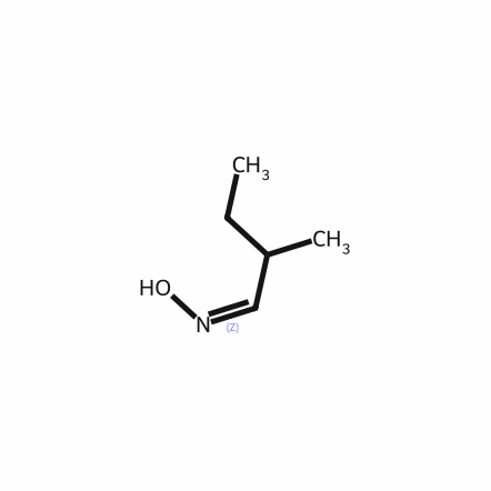 CCC(C)/C=N\O